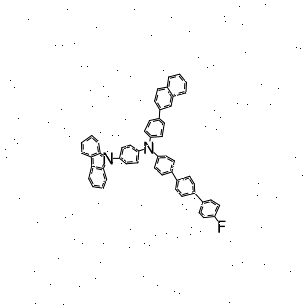 Fc1ccc(-c2ccc(-c3ccc(N(c4ccc(-c5ccc6ccccc6c5)cc4)c4ccc(-n5c6ccccc6c6ccccc65)cc4)cc3)cc2)cc1